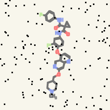 CN1CCC(COc2cc3nccc(Oc4ccc(NC(=O)C5(C(=O)Nc6ccc(F)cc6)CC5)cc4F)c3cn2)CC1